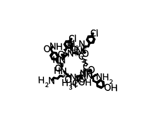 C[C@@H](O)[C@@H]1NC(=O)[C@H](CCCCN)NC(=O)[C@@H](Cc2ccc(C(N)=O)cc2)NC(=O)[C@H](Cc2ccc(Cl)cc2)NC(=O)[C@H](NC(=O)[C@@H](N)Cc2ccc(Cl)cc2)CSSC[C@@H](C(=O)NC(CN)Cc2ccc(O)cc2)NC1=O